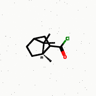 CC1(C)C2CC[C@]1(C)C(C(=O)Cl)C2